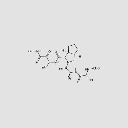 CCCC(NC(=O)[C@@H]1[C@H]2CCC[C@H]2CN1C(=O)[C@@H](NC(=O)[C@H](NC=O)C(C)C)C(C)C)C(=O)C(=O)NC(C)CC